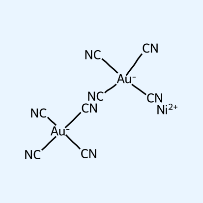 N#[C][Au-]([C]#N)([C]#N)[C]#N.N#[C][Au-]([C]#N)([C]#N)[C]#N.[Ni+2]